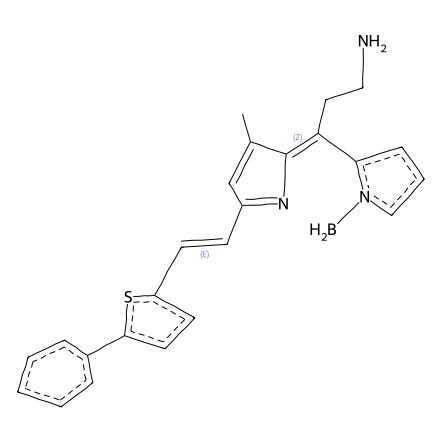 Bn1cccc1/C(CCN)=C1N=C(/C=C/c2ccc(-c3ccccc3)s2)C=C\1C